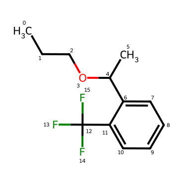 CCCOC(C)c1ccccc1C(F)(F)F